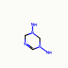 [NH]N1C=NCN([NH])C1